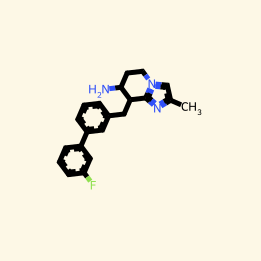 Cc1cn2c(n1)C(Cc1cccc(-c3cccc(F)c3)c1)C(N)CC2